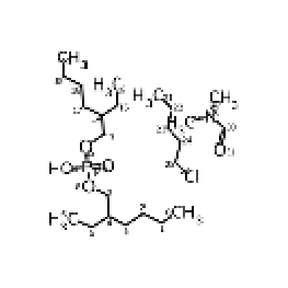 CCCCC(CC)COP(=O)(O)OCC(CC)CCCC.CCCCCCl.CN(C)C=O